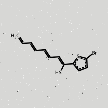 C=CC=CC=C/C=C(\S)c1ccc(Br)s1